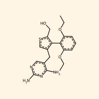 CCOc1cccc(OCC)c1-c1c(Cc2cnc(N)nc2N)csc1CO